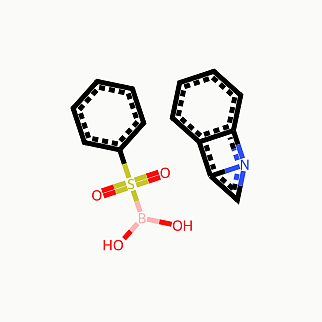 O=S(=O)(B(O)O)c1ccccc1.c1ccc2c(c1)c1cn2-1